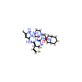 Cc1cc(Nc2nc(NC3CC4CCCC(C3)N4C(=O)CN3CCNCC3)nc3sccc23)n[nH]1